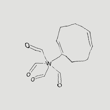 O=[CH][W]([CH]=O)([CH]=O)([CH]=O)[C]1=CCCC=CCC1